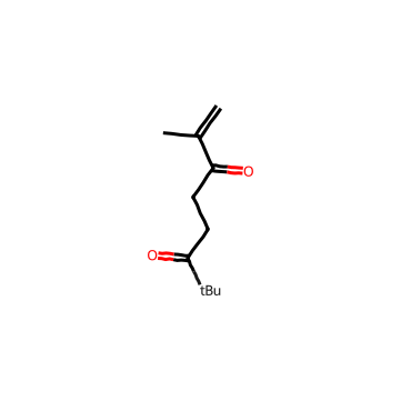 C=C(C)C(=O)CCC(=O)C(C)(C)C